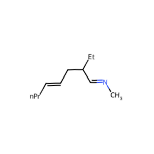 CCC/C=C/CC(/C=N/C)CC